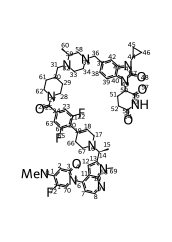 CNc1cc(=O)n(-c2ccnc3c2cc([C@H](C)N2CC=C(c4c(F)cc(C(=O)N5CCC(CN6CCN(Cc7ccc8c(c7)n(C7CC7)c(=O)n8[C@@H]7CCC(=O)NC7=O)C[C@@H]6C)CC5)cc4F)CC2)n3C)cc1F